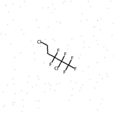 FC(F)(F)C(F)(Cl)C(F)(F)CCCl